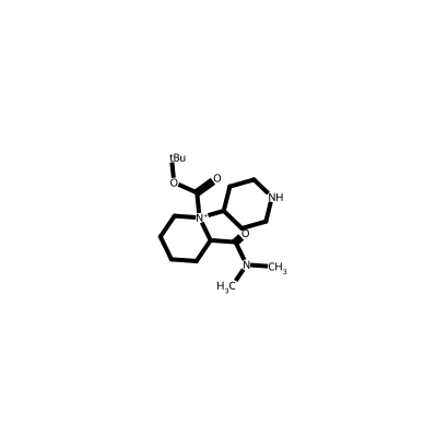 CN(C)C(=O)C1CCCC[N+]1(C(=O)OC(C)(C)C)C1CCNCC1